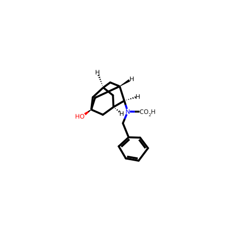 O=C(O)N(Cc1ccccc1)[C@H]1[C@@H]2C[C@@H]3C[C@H]1C[C@@](O)(C3)C2